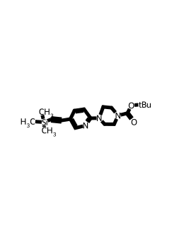 CC(C)(C)OC(=O)N1CCN(c2ccc(C#C[Si](C)(C)C)cn2)CC1